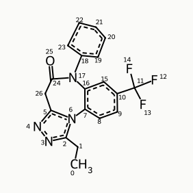 CCc1nnc2n1-c1ccc(C(F)(F)F)cc1N(c1ccccc1)C(=O)C2